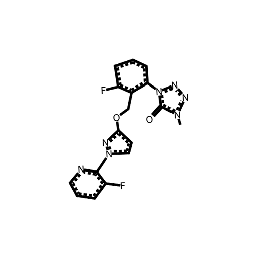 Cn1nnn(-c2cccc(F)c2COc2ccn(-c3ncccc3F)n2)c1=O